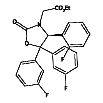 CCOC(=O)CN1C(=O)OC(c2cccc(F)c2)(c2cccc(F)c2)[C@@H]1c1ccccc1F